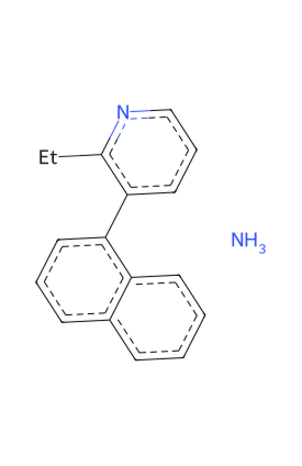 CCc1ncccc1-c1cccc2ccccc12.N